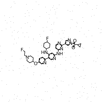 O=S(=O)(C1CC1)n1cc(-c2nccc(Nc3cc(NC4CCC(F)CC4)c(-c4ccc(OC5CCN(CCF)CC5)cn4)cn3)n2)cn1